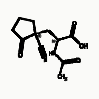 CC(=O)N[C@@H](C[C@@]1(C#N)CCCC1=O)C(=O)O